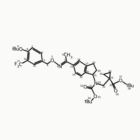 C/C(=N\OCc1ccc(OCC(C)C)c(C(F)(F)F)c1)c1ccc2c(c1)CCC2N(CC1(C(=O)OC(C)(C)C)CC1)C(=O)OC(C)(C)C